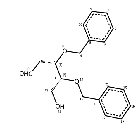 O=CC[C@H](OCc1ccccc1)[C@@H](CO)OCc1ccccc1